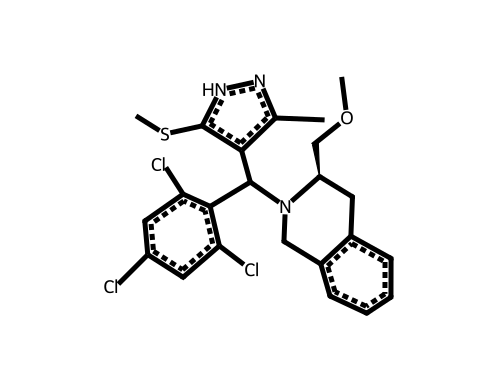 COC[C@H]1Cc2ccccc2CN1C(c1c(Cl)cc(Cl)cc1Cl)c1c(C)n[nH]c1SC